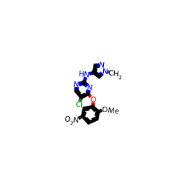 COc1ccc([N+](=O)[O-])cc1Oc1nc(Nc2cnn(C)c2)ncc1Cl